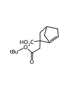 CC(C)(C)OC(=O)CC1(C(=O)O)CC2CC=C1C2